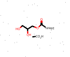 CC(=O)O.CCCCCCCC(=O)OCC(O)CO